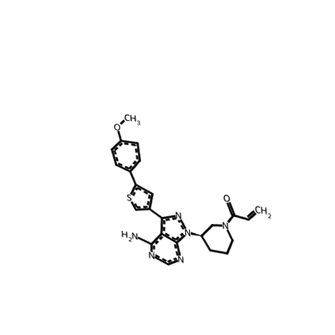 C=CC(=O)N1CCC[C@@H](n2nc(-c3csc(-c4ccc(OC)cc4)c3)c3c(N)ncnc32)C1